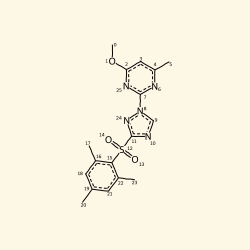 COc1cc(C)nc(-n2cnc(S(=O)(=O)c3c(C)cc(C)cc3C)n2)n1